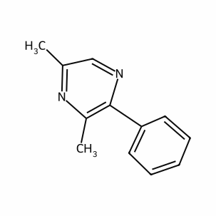 Cc1cnc(-c2ccccc2)c(C)n1